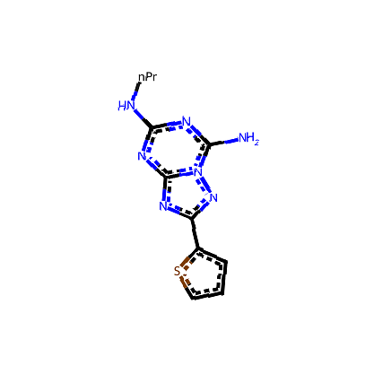 CCCNc1nc(N)n2nc(-c3cccs3)nc2n1